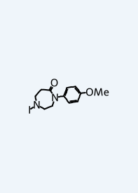 COc1ccc(N2CCN(I)CCC2=O)cc1